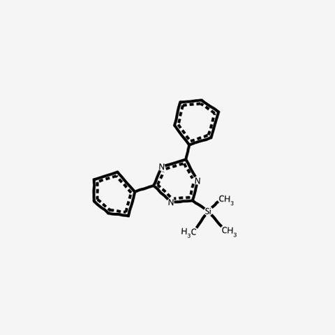 C[Si](C)(C)c1nc(-c2ccccc2)nc(-c2ccccc2)n1